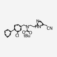 CC(C)(C)OC(=O)N(CCc1ncc(CC#N)[nH]1)Cc1ccc(-c2ccccc2)c(Cl)c1